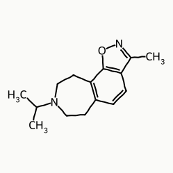 Cc1noc2c3c(ccc12)CCN(C(C)C)CC3